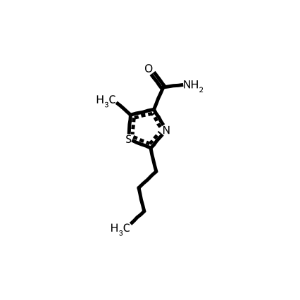 CCCCc1nc(C(N)=O)c(C)s1